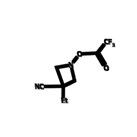 CCC1(C#N)CN(OC(=O)C(F)(F)F)C1